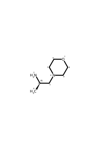 C[C@@H](N)CN1CCOCC1